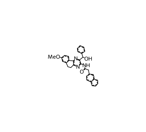 COc1ccc2c(c1)CCc1nc(NC(=O)Cc3ccc4ccccc4c3)c(C(O)c3ccccc3)nc1-2